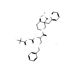 CN1N=C2CCN(C(=O)C(COCc3ccccc3)NC(=O)NC(=O)C(C)(C)N)CC2(Cc2ccccn2)C1=O.Cl.Cl